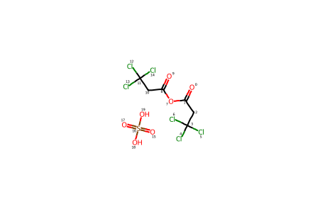 O=C(CC(Cl)(Cl)Cl)OC(=O)CC(Cl)(Cl)Cl.O=S(=O)(O)O